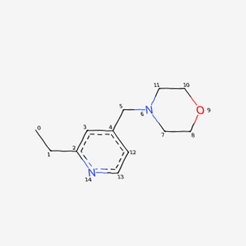 CCc1cc(CN2CCOCC2)ccn1